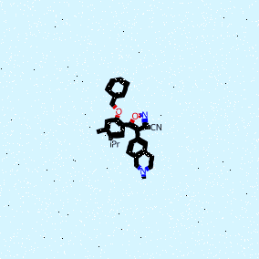 Cc1cc(OCc2ccccc2)c(-c2onc(C#N)c2-c2ccc3c(c2)CCN(C)C3)cc1C(C)C